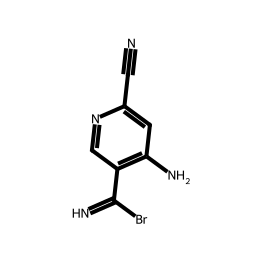 N#Cc1cc(N)c(C(=N)Br)cn1